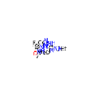 C=CC(=O)Nc1cc(C)ccc1Nc1nc(Nc2cc(OC)nc(N3CCN(CC)CC3)c2)ncc1C(F)(F)F